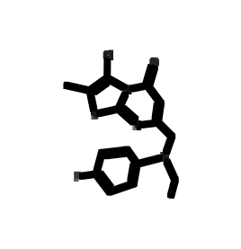 CCN(Cc1cc(=O)n2c(Cl)c(C)sc2n1)c1ccc(F)cc1